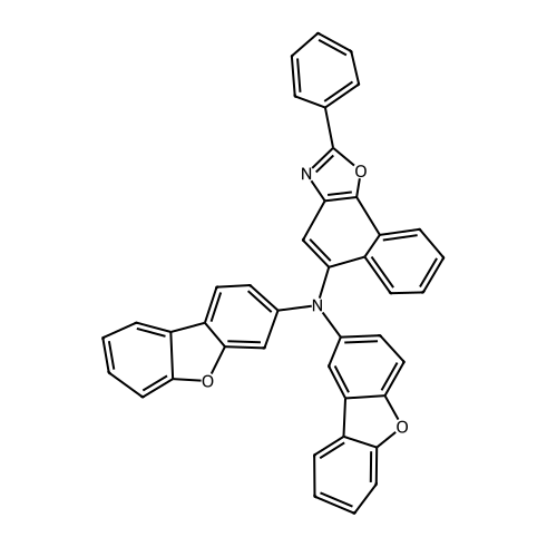 c1ccc(-c2nc3cc(N(c4ccc5c(c4)oc4ccccc45)c4ccc5oc6ccccc6c5c4)c4ccccc4c3o2)cc1